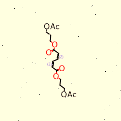 CC(=O)OCCCOC(=O)/C=C\C=C/C(=O)OCCCOC(C)=O